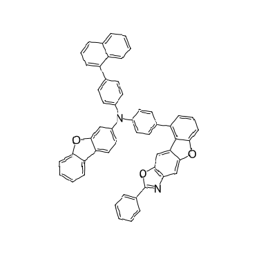 c1ccc(-c2nc3cc4oc5cccc(-c6ccc(N(c7ccc(-c8cccc9ccccc89)cc7)c7ccc8c(c7)oc7ccccc78)cc6)c5c4cc3o2)cc1